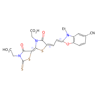 CCN1/C(=C/C=c2/s/c(=C3\SC(=S)N(CC(=O)O)C3=O)n(CC(=O)O)c2=O)Oc2ccc(C#N)cc21